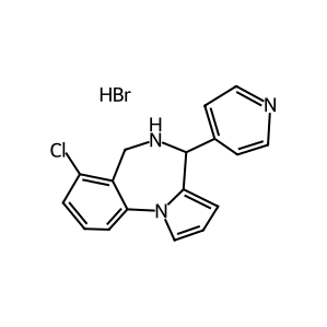 Br.Clc1cccc2c1CNC(c1ccncc1)c1cccn1-2